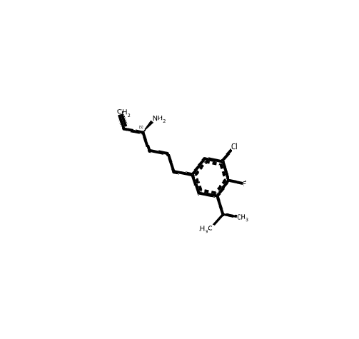 C=C[C@@H](N)CCCc1cc(Cl)c(F)c(C(C)C)c1